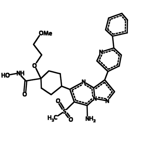 COCCOC1(C(=O)NO)CCC(c2nc3c(-c4ccc(-c5ccccc5)nc4)cnn3c(N)c2S(C)(=O)=O)CC1